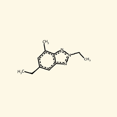 CCc1cc(C)c2nn(CC)nc2c1